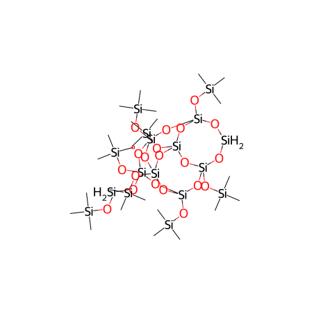 C[Si](C)(C)O[SiH2]O[Si]1(O[Si](C)(C)C)O[Si]2(O[Si](C)(C)C)O[Si]3(O[Si](C)(C)C)O[SiH2]O[Si]4(O[Si](C)(C)C)O[Si](O[Si](C)(C)C)(O1)O[Si](O[Si](C)(C)C)(O2)O[Si](O[Si](C)(C)C)(O3)O4